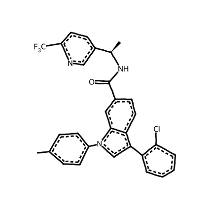 Cc1ccc(-n2cc(-c3ccccc3Cl)c3ccc(C(=O)N[C@H](C)c4ccc(C(F)(F)F)nc4)cc32)cc1